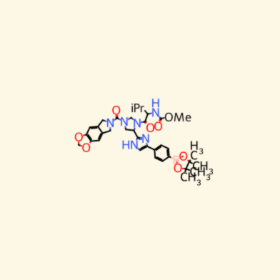 COC(=O)NC(C(=O)N1CN(C(=O)N2Cc3cc4c(cc3C2)OCO4)CC1c1nc(-c2ccc(B3OC(C)(C)C(C)(C)O3)cc2)c[nH]1)C(C)C